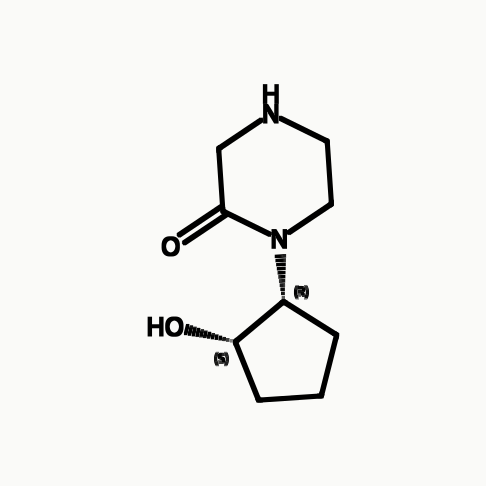 O=C1CNCCN1[C@@H]1CCC[C@@H]1O